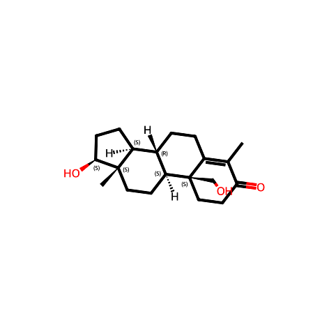 CC1=C2CC[C@@H]3[C@H](CC[C@]4(C)[C@@H](O)CC[C@@H]34)[C@@]2(CO)CCC1=O